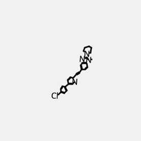 Cn1c(N2CCCCC2)nc2cc(C#Cc3ccc(-c4ccc(Cl)cc4)cn3)ccc21